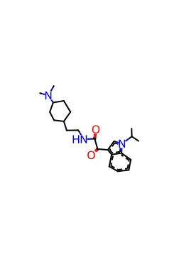 CC(C)n1cc(C(=O)C(=O)NCCC2CCC(N(C)C)CC2)c2ccccc21